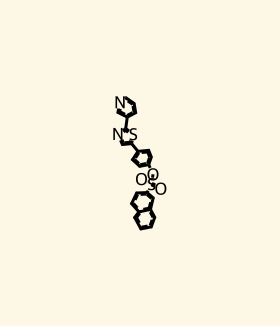 O=S(=O)(Oc1ccc(-c2cnc(-c3cccnc3)s2)cc1)c1ccc2ccccc2c1